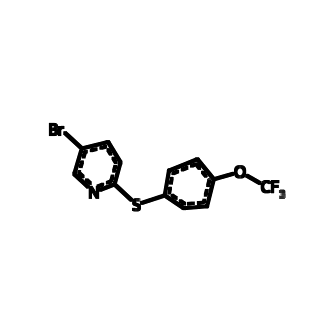 FC(F)(F)Oc1ccc(Sc2ccc(Br)cn2)cc1